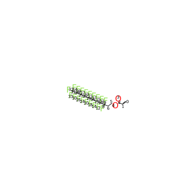 C=CC(=O)OCCC(F)(F)C(F)(F)C(F)(F)C(F)(F)C(F)(F)C(F)(F)C(F)(F)C(F)(F)C(F)(F)F